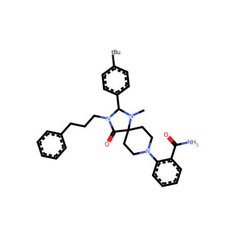 CN1C(c2ccc(C(C)(C)C)cc2)N(CCCc2ccccc2)C(=O)C12CCN(c1ccccc1C(N)=O)CC2